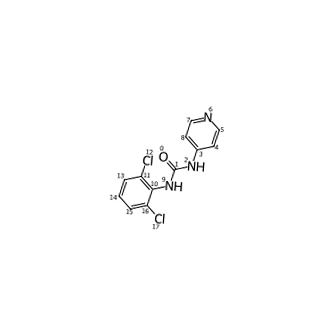 O=C(Nc1ccncc1)Nc1c(Cl)cccc1Cl